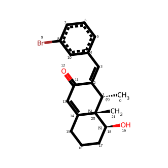 C[C@H]1C(=Cc2cccc(Br)c2)C(=O)C=C2CCC[C@H](O)[C@]21C